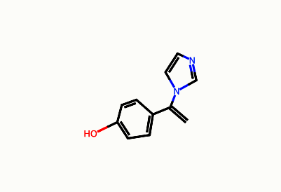 C=C(c1ccc(O)cc1)n1ccnc1